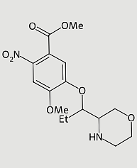 CCC(Oc1cc(C(=O)OC)c([N+](=O)[O-])cc1OC)C1COCCN1